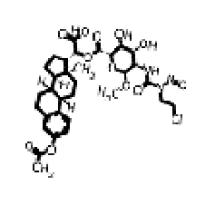 CO[C@H]1O[C@H](C(=O)OC(C(=O)O)[C@H]2CC[C@@H]3[C@H]4CCc5cc(OC(C)=O)ccc5[C@@H]4CC[C@]23C)[C@@H](O)[C@H](O)[C@H]1NC(=O)N(CCCl)N=O